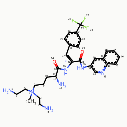 C[N+](CCN)(CCN)CCC[C@H](N)C(=O)N/C(=C/c1ccc(C(F)(F)F)cc1)C(=O)Nc1cnc2ccccc2c1